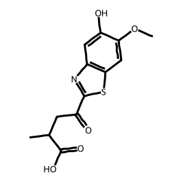 COc1cc2sc(C(=O)CC(C)C(=O)O)nc2cc1O